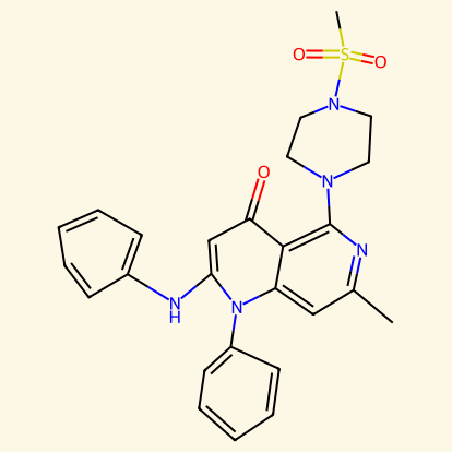 Cc1cc2c(c(N3CCN(S(C)(=O)=O)CC3)n1)c(=O)cc(Nc1ccccc1)n2-c1ccccc1